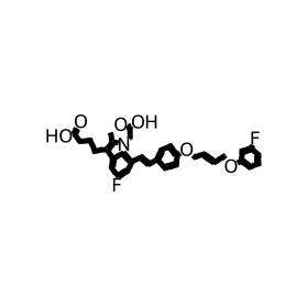 Cc1c(CCCC(=O)O)c2cc(F)cc(/C=C/c3ccc(OC/C=C/COc4cccc(F)c4)cc3)c2n1CC(=O)O